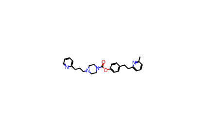 Cc1cccc(CCc2ccc(OC(=O)N3CCN(CCCc4ccccn4)CC3)cc2)n1